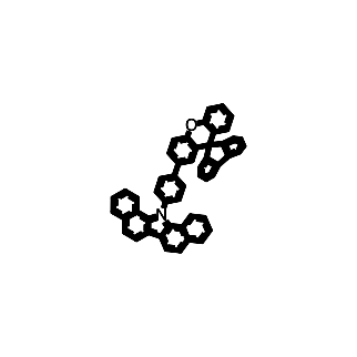 c1ccc2c(c1)Oc1ccc(-c3ccc(-n4c5c6ccccc6ccc5c5ccc6ccccc6c54)cc3)cc1C21c2ccccc2-c2ccccc21